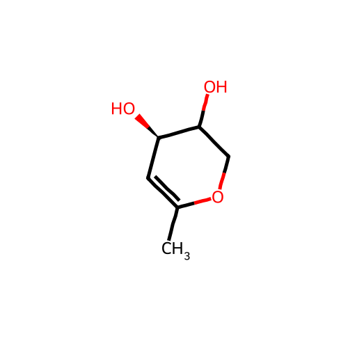 CC1=C[C@@H](O)C(O)CO1